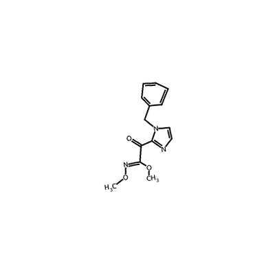 CON=C(OC)C(=O)c1nccn1Cc1ccccc1